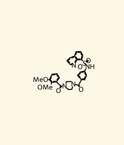 COc1cccc(C(=O)N2CCN(C(=O)c3ccc(NS(=O)(=O)c4cccc5cccnc45)cc3)CC2)c1OC